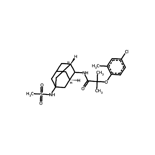 Cc1cc(Cl)ccc1OC(C)(C)C(=O)NC1[C@@H]2CC3C[C@H]1CC(NS(C)(=O)=O)(C3)C2